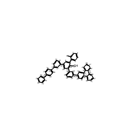 Cc1ccccc1-c1cc(-c2cccc(-c3ccc(-c4ccccc4)cc3)c2)cc(-c2cccc(-c3ccc4c5ccccc5c5ccccc5c4c3)c2)c1S